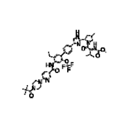 CCc1cc(-c2ccc(-c3c[nH]c(C4CC(C)CN4C(=O)[C@@H](NC(=O)OC)C(C)C)n3)cc2)c(OC(F)(F)F)cc1NC(=O)c1ccc(N2CCN(C(=O)C(C)(C)C)CC2)nc1